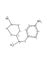 [CH3][Au]([CH2]c1ccc(N)cc1)[CH]1CCC(C#N)CC1